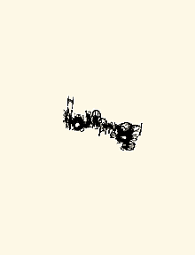 COc1ccc(S(=O)(=O)CNCCOCC(=O)N(C)Cc2ccc(C3=NCCN3)cc2)c(Cl)c1